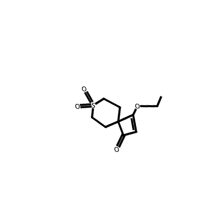 CCOC1=CC(=O)C12CCS(=O)(=O)CC2